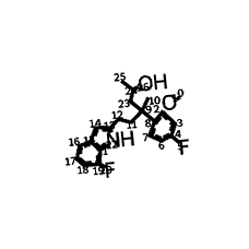 COc1cc(F)ccc1C(C)(CCc1cc2cccc(F)c2[nH]1)CC(C)O